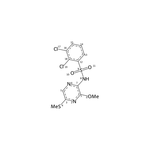 COc1nc(SC)cnc1NS(=O)(=O)c1cccc(Cl)c1Cl